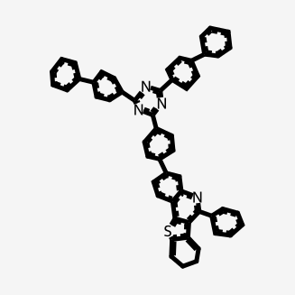 C1=c2sc3c(c(-c4ccccc4)nc4cc(-c5ccc(-c6nc(-c7ccc(-c8ccccc8)cc7)nc(-c7ccc(-c8ccccc8)cc7)n6)cc5)ccc43)c2=CCC1